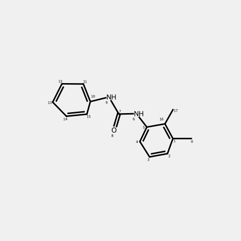 Cc1cccc(NC(=O)Nc2ccccc2)c1C